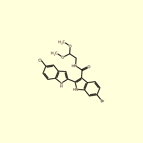 COC(CNC(=O)c1c(-c2cc3cc(Cl)ccc3[nH]2)[nH]c2cc(Br)ccc12)OC